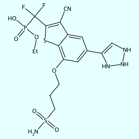 CCOP(=O)(O)C(F)(F)c1sc2c(OCCCS(N)(=O)=O)cc(C3=CNNN3)cc2c1C#N